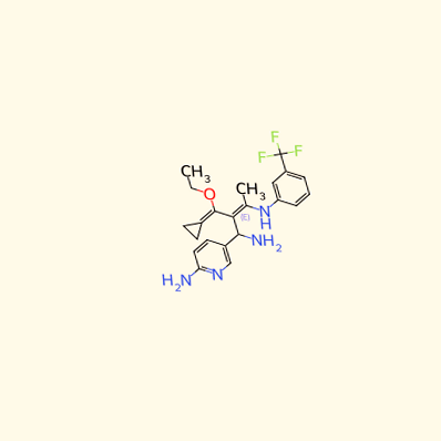 CCOC(=C1CC1)/C(=C(\C)Nc1cccc(C(F)(F)F)c1)C(N)c1ccc(N)nc1